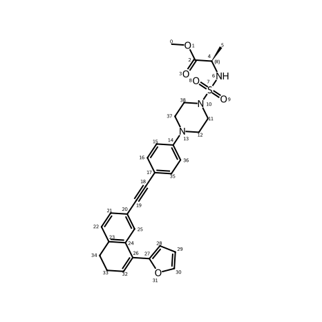 COC(=O)[C@@H](C)NS(=O)(=O)N1CCN(c2ccc(C#Cc3ccc4c(c3)C(c3ccco3)=CCC4)cc2)CC1